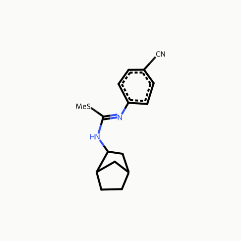 CSC(=Nc1ccc(C#N)cc1)NC1CC2CCC1C2